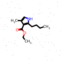 CCCCc1[nH]cc(C)c1C(=O)OCC